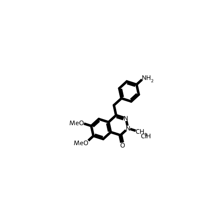 COc1cc2c(Cc3ccc(N)cc3)nn(C)c(=O)c2cc1OC.Cl